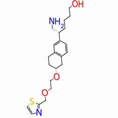 NC[C@H](CCCCO)c1ccc2c(c1)CC[C@@H](OCCOCc1nccs1)C2